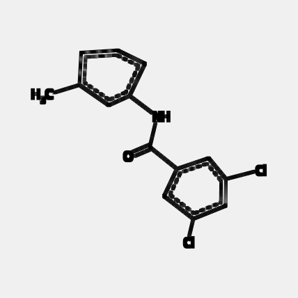 Cc1cccc(NC(=O)c2cc(Cl)cc(Cl)c2)c1